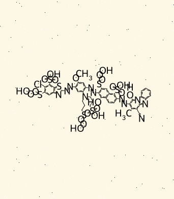 COc1cc(N=Nc2c(SOOO)cc3c(S(=O)(=O)O)c(N=Nc4c(C)c(C#N)c5nc6ccccc6n5c4O)ccc3c2O)c(N(CCCSOOO)CCCS(=O)(=O)O)cc1N=Nc1nc2cc(SOOO)c(Cl)c(S(=O)(=O)O)c2s1